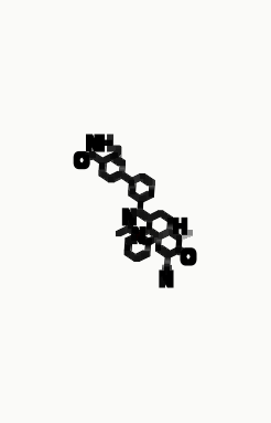 Cc1nc(-c2cccc(-c3ccc(C(N)=O)cc3)c2)c2c(n1)[C@@]1(c3ccccc3)C=C(C#N)C(=O)[C@@H](C)[C@@H]1CC2